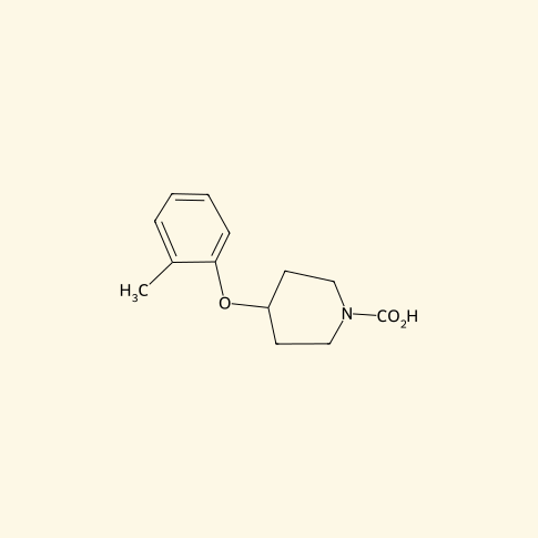 Cc1ccccc1OC1CCN(C(=O)O)CC1